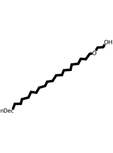 CCCCCCCCCCCCCCCCCCCCCCCCCCCCCOCCO